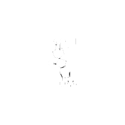 COc1ccc2c(c1)C(=O)C1(CCN(C(=O)O)CC1)C2